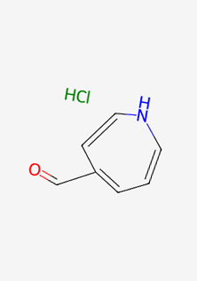 Cl.O=CC1=CC=CNC=C1